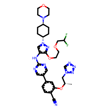 C[C@@H](Cn1cnnn1)Oc1cc(-c2cnc(Nc3cn([C@H]4CC[C@H](N5CCOCC5)CC4)nc3OCCOCC(F)F)nc2)ccc1C#N